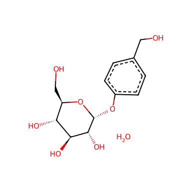 O.OCc1ccc(O[C@H]2O[C@H](CO)[C@@H](O)[C@H](O)[C@H]2O)cc1